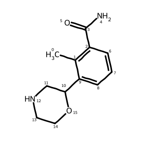 Cc1c(C(N)=O)cccc1C1CNCCO1